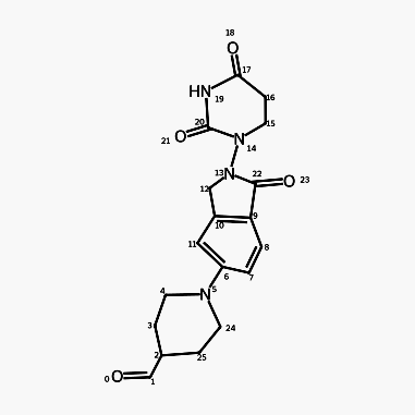 O=CC1CCN(c2ccc3c(c2)CN(N2CCC(=O)NC2=O)C3=O)CC1